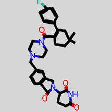 CC1(C)CCC(C(=O)N2CCN(Cc3ccc4c(c3)CN(C3CCC(=O)NC3=O)C4=O)CC2)=C(c2ccc(F)cc2)C1